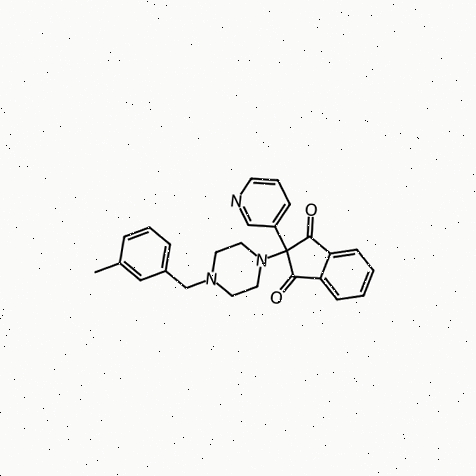 Cc1cccc(CN2CCN(C3(c4cccnc4)C(=O)c4ccccc4C3=O)CC2)c1